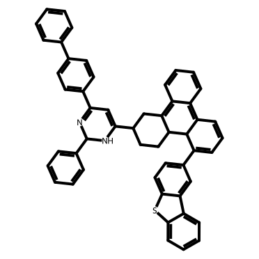 C1=CC2=c3ccccc3=C3CC(C4=CC(c5ccc(-c6ccccc6)cc5)=NC(c5ccccc5)N4)CCC3C2C(c2ccc3sc4ccccc4c3c2)=C1